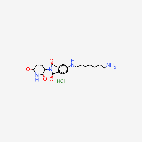 Cl.NCCCCCCCNc1ccc2c(c1)C(=O)N(C1CCC(=O)NC1=O)C2=O